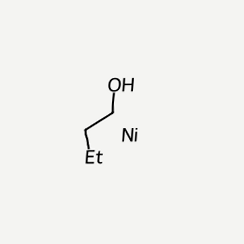 CCCCO.[Ni]